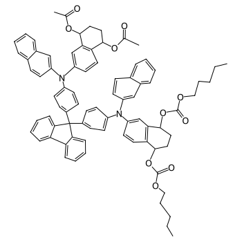 CCCCCOC(=O)OC1CCC(OC(=O)OCCCCC)c2cc(N(c3ccc(C4(c5ccc(N(c6ccc7c(c6)C(OC(C)=O)CCC7OC(C)=O)c6ccc7ccccc7c6)cc5)c5ccccc5-c5ccccc54)cc3)c3ccc4ccccc4c3)ccc21